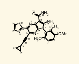 COc1ccc(C)c(-n2c(N)c(C(N)=O)c3nc(-c4nccs4)c(C#CC4CC4)nc32)c1C